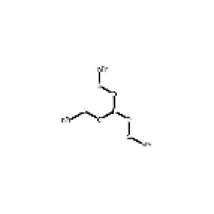 CCCSOP(OSCCC)OSCCC